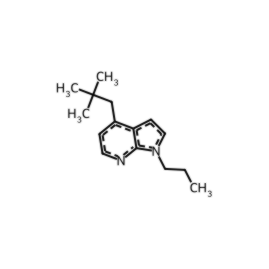 CCCn1ccc2c(CC(C)(C)C)ccnc21